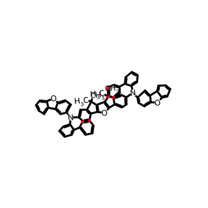 CC1(C)c2cc(N(c3ccc4oc5ccccc5c4c3)c3ccccc3-c3ccccc3)ccc2-c2oc3c(c21)C(C)(C)c1cc(N(c2ccc4oc5ccccc5c4c2)c2ccccc2-c2ccccc2)ccc1-3